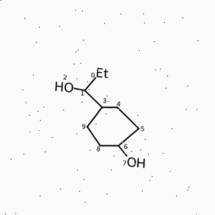 CCC(O)C1CCC(O)CC1